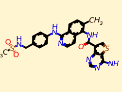 Cc1ccc2c(Nc3ccc(CNS(C)(=O)=O)cc3)nccc2c1NC(=O)c1csc2c(N)ncnc12